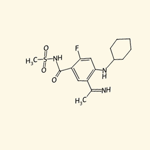 CC(=N)c1cc(C(=O)NS(C)(=O)=O)c(F)cc1NC1CCCCC1